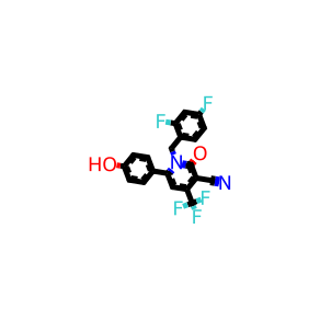 N#Cc1c(C(F)(F)F)cc(-c2ccc(O)cc2)n(Cc2ccc(F)cc2F)c1=O